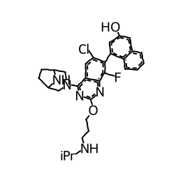 CC(C)NCCCOc1nc(N2CC3CCC(C2)N3)c2cc(Cl)c(-c3cc(O)cc4ccccc34)c(F)c2n1